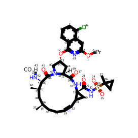 CC(C)Oc1cc2c(Cl)cccc2c(O[C@@H]2C[C@H]3C(=O)N[C@]4(C(=O)NS(=O)(=O)C5(C)CC5)CC4/C=C\CC[C@@H](C)C[C@@H](C)[C@H](NC(=O)O)C(=O)N3C2)n1